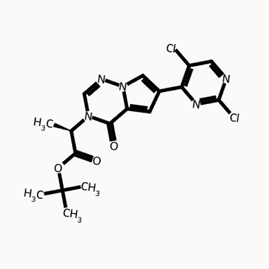 C[C@H](C(=O)OC(C)(C)C)n1cnn2cc(-c3nc(Cl)ncc3Cl)cc2c1=O